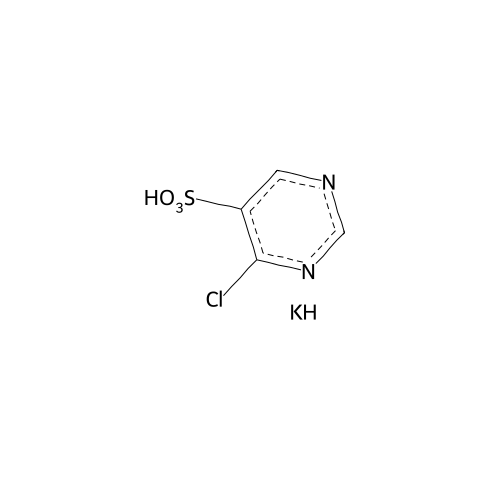 O=S(=O)(O)c1cncnc1Cl.[KH]